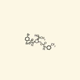 CB(O)N1C[C@H](NS(=O)(=O)c2cc(Br)ccc2Br)C[C@@H]1COC(=O)Nc1cccc(C(F)(F)F)c1